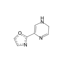 C1=NC(c2ncco2)=CNC1